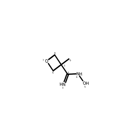 CC1(C(=N)NO)COC1